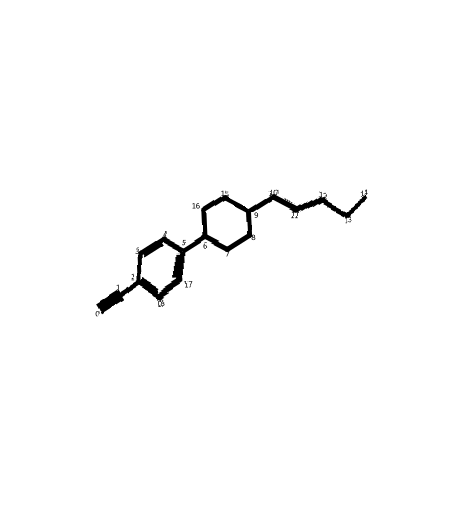 C#Cc1ccc(C2CCC(CCCCC)CC2)cc1